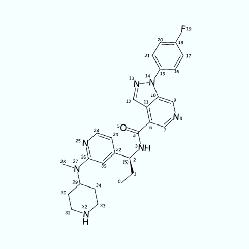 CC[C@H](NC(=O)c1cncc2c1cnn2-c1ccc(F)cc1)c1ccnc(N(C)C2CCNCC2)c1